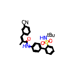 C/C(=C/c1cccc(C#N)c1)C(=O)Nc1ccc(-c2ccccc2S(=O)(=O)NC(C)(C)C)cc1